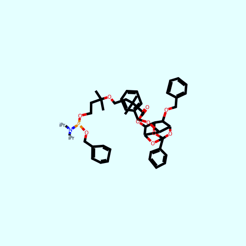 CC(C)N(C(C)C)P(OCCC(C)(C)OCCC(C)(C)C(=O)OC1C2OC3(c4ccccc4)OC(C2OCc2ccccc2)C(OCc2ccccc2)C1O3)OCc1ccccc1